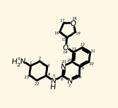 NC1CCC(Nc2ncc3cccc(OC4CCOC4)c3n2)CC1